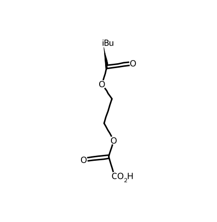 CC[C@H](C)C(=O)OCCOC(=O)C(=O)O